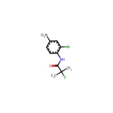 O=C(Nc1ccc([N+](=O)[O-])cc1Br)C(F)(C(F)(F)F)C(F)(F)F